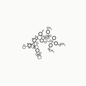 COc1ccc(C(OCC(COS(=O)(=O)c2ccc(C)cc2)Oc2ccc(-c3c(-c4ccc(F)cc4)sc4ncnc(OC(Cc5cc(OC6CCCCO6)c(C)cc5OCc5ccnc(C6CCCO6)n5)C(=O)O)c34)c(C)c2Cl)(c2ccccc2)c2ccc(OC)cc2)cc1